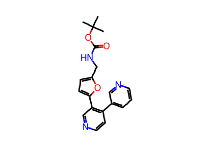 CC(C)(C)OC(=O)NCc1ccc(-c2cnccc2-c2cccnc2)o1